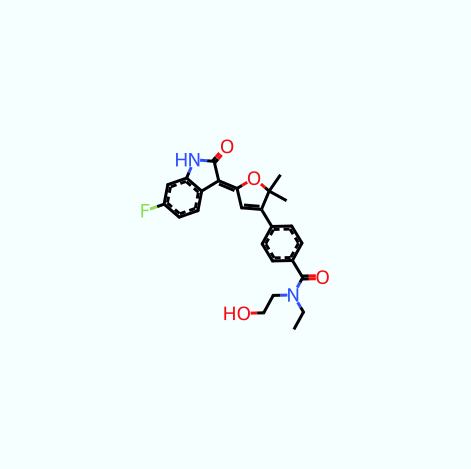 CCN(CCO)C(=O)c1ccc(C2=CC(=C3C(=O)Nc4cc(F)ccc43)OC2(C)C)cc1